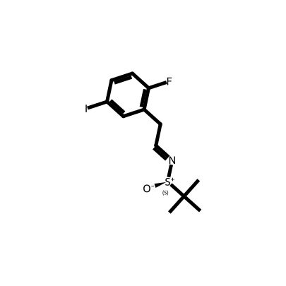 CC(C)(C)[S@@+]([O-])N=CCc1cc(I)ccc1F